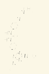 CN1CCN(c2ccc(NC(=O)Nc3ccc(-c4nc(N5CCSCC5)nc(N5C6CCC5COC6)n4)cc3)cc2)CC1